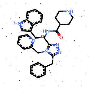 O=C(N[C@H](Cc1c[nH]c2ccccc12)c1nnc(Cc2ccccc2)n1Cc1ccccn1)C1CCNCC1